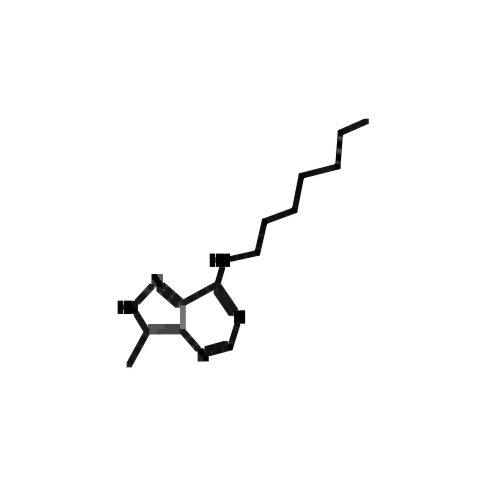 CCCCCCCNc1ncnc2c(C)[nH]nc12